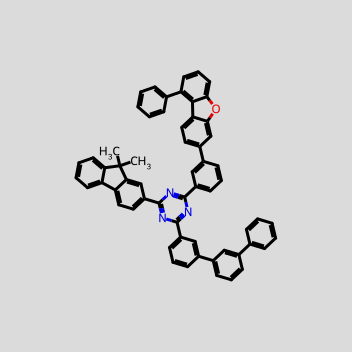 CC1(C)c2ccccc2-c2ccc(-c3nc(-c4cccc(-c5cccc(-c6ccccc6)c5)c4)nc(-c4cccc(-c5ccc6c(c5)oc5cccc(-c7ccccc7)c56)c4)n3)cc21